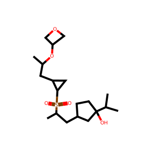 CC(CC1CC1S(=O)(=O)C(C)CC1CCC(O)(C(C)C)C1)OC1COC1